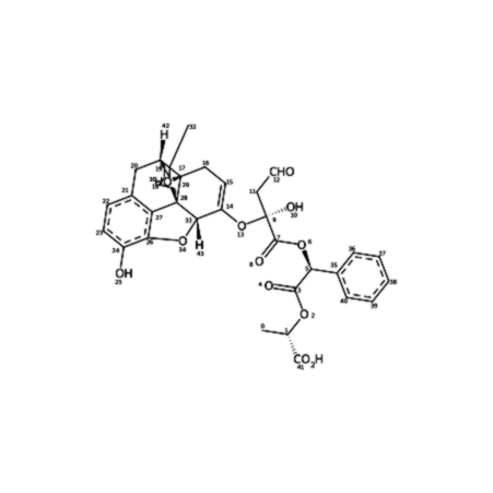 C[C@H](OC(=O)[C@@H](OC(=O)[C@](O)(CC=O)OC1=CC[C@@]2(O)[C@H]3Cc4ccc(O)c5c4[C@@]2(CCN3C)[C@H]1O5)c1ccccc1)C(=O)O